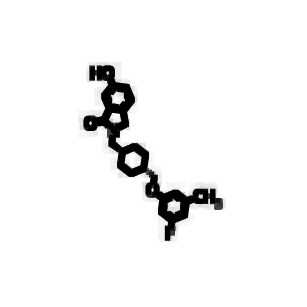 Cc1cc(F)cc(OC[C@H]2CC[C@H](CN3Cc4ccc(O)cc4C3=O)CC2)c1